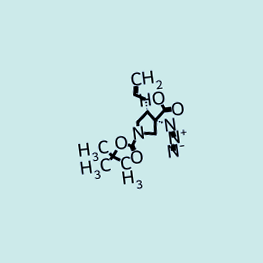 C=CC[C@H]1CN(C(=O)OC(C)(C)C)C[C@]1(N=[N+]=[N-])C(=O)O